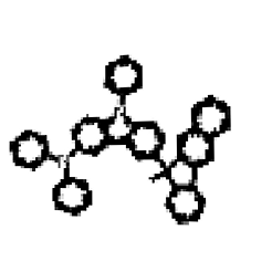 CC1(c2ccc3c(c2)c2cc(N(c4ccccc4)c4ccccc4)ccc2n3-c2ccccc2)c2ccccc2-c2cc3ccccc3cc21